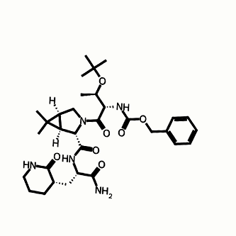 C[C@@H](OC(C)(C)C)[C@H](NC(=O)OCc1ccccc1)C(=O)N1C[C@H]2[C@@H]([C@H]1C(=O)N[C@@H](C[C@@H]1CCCNC1=O)C(N)=O)C2(C)C